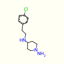 NN1CCC(NCCc2ccc(Cl)cc2)CC1